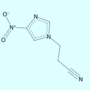 N#CCCn1cnc([N+](=O)[O-])c1